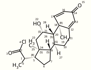 CC(C(=O)Cl)[C@H]1CC[C@H]2[C@@H]3CCC4=CC(=O)C=C[C@]4(C)[C@H]3[C@@H](O)C[C@]12C